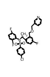 C[C@H](c1ccc(F)cc1COCc1cccnc1)N(c1cc(F)ccc1F)S(=O)(=O)c1ccc(Cl)cc1